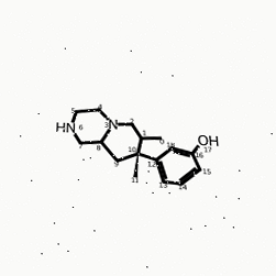 CC1CN2CCNCC2C[C@@]1(C)c1cccc(O)c1